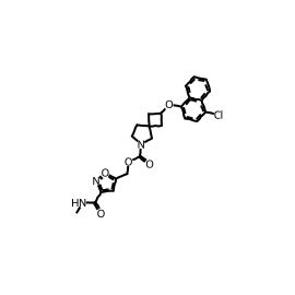 CNC(=O)c1cc(COC(=O)N2CCC3(CC(Oc4ccc(Cl)c5ccccc45)C3)C2)on1